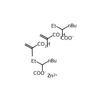 C=C(C)C(=O)O.C=C(C)C(=O)O.CCCCC(CC)C(=O)[O-].CCCCC(CC)C(=O)[O-].[Zn+2]